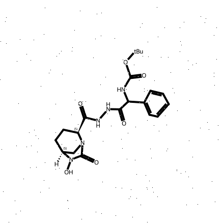 CC(C)(C)OC(=O)NC(C(=O)NNC(=O)[C@@H]1CC[C@H]2CN1C(=O)N2O)c1ccccc1